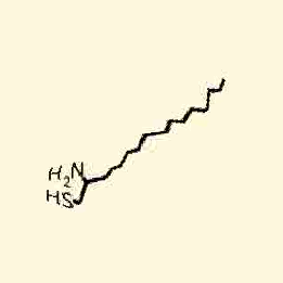 CCCCCCCCCCCCCCC(N)CS